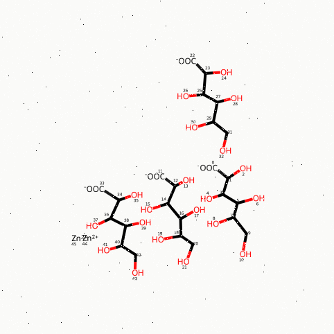 O=C([O-])C(O)C(O)C(O)C(O)CO.O=C([O-])C(O)C(O)C(O)C(O)CO.O=C([O-])C(O)C(O)C(O)C(O)CO.O=C([O-])C(O)C(O)C(O)C(O)CO.[Zn+2].[Zn+2]